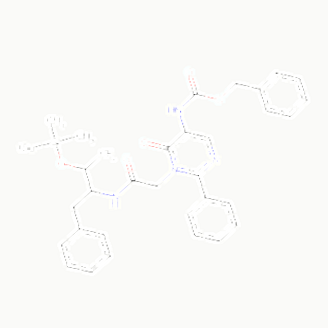 CC(C)(C)[Si](C)(C)OC(C(Cc1ccccc1)NC(=O)Cn1c(-c2ccccc2)ncc(NC(=O)OCc2ccccc2)c1=O)C(F)(F)F